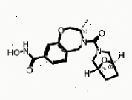 C[C@H]1COc2cc(C(=O)NO)ccc2CN1C(=O)N1C[C@H]2CC[C@H](C1)O2